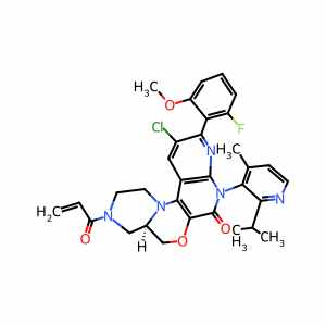 C=CC(=O)N1CCN2c3c(c(=O)n(-c4c(C)ccnc4C(C)C)c4nc(-c5c(F)cccc5OC)c(Cl)cc34)OC[C@H]2C1